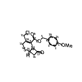 COc1ccc(COC(=O)C2=C(CCl)CS[C@@H]3CC(=O)N23)cc1